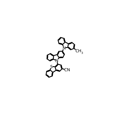 Cc1ccc2c3ccccc3n(-c3ccc4c(c3)c3ccccc3n4-c3cc(C#N)cc4c3sc3ccccc34)c2c1